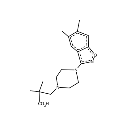 Cc1cc2onc(N3CCN(CC(C)(C)C(=O)O)CC3)c2cc1C